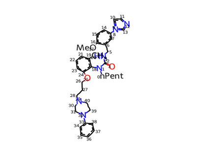 CCCCCN(C(=O)NCc1cc(-n2ccnc2)ccc1OC)c1c(C)cccc1OCCCN1CCN(c2ccccc2)CC1